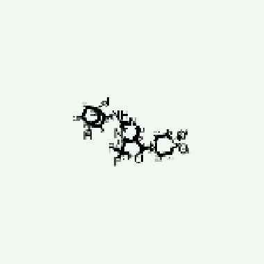 O=C(c1cnc(N[C@H]2C[C@H]3CC[C@@H]2C3)nc1C(F)(F)F)N1CCS(=O)(=O)CC1